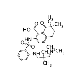 CN(C)CC(C)(C)CNc1ccccc1S(=O)(=O)Nc1ccc2c(c1C(=O)O)C(=O)C(C)(C)CC2